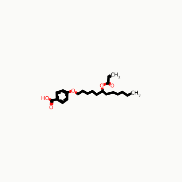 C=CC(=O)OC(CCCCCC)CCCCCOc1ccc(C(=O)O)cc1